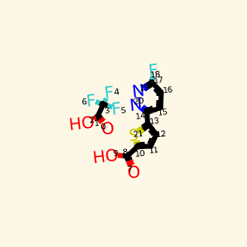 O=C(O)C(F)(F)F.O=C(O)c1ccc(-c2ccc(F)nn2)s1